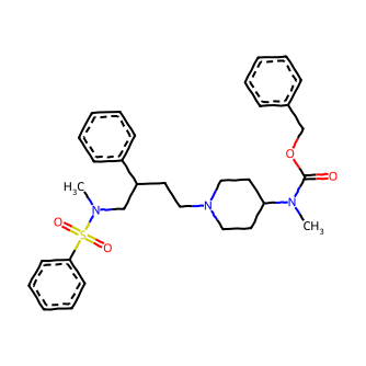 CN(C(=O)OCc1ccccc1)C1CCN(CCC(CN(C)S(=O)(=O)c2ccccc2)c2ccccc2)CC1